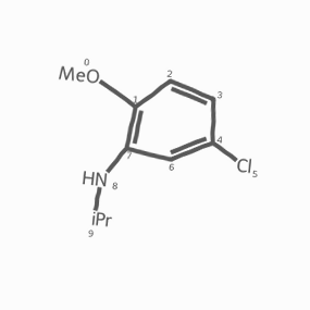 COc1ccc(Cl)cc1NC(C)C